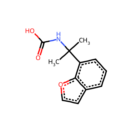 CC(C)(NC(=O)O)c1cccc2ccoc12